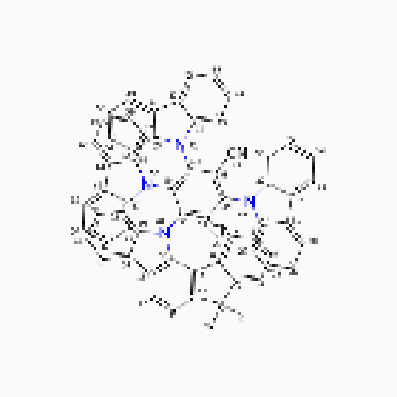 CC1(C)c2ccccc2-c2c1ccc1c3ccccc3n(-c3c(C#N)c(-n4c5ccccc5c5ccccc54)c(C#N)c(-n4c5ccccc5c5ccccc54)c3-n3c4ccccc4c4ccccc43)c21